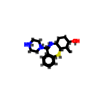 CC1C(O)CCC2N=C(N3CCNCC3)c3ccccc3SC21